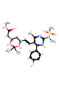 CC(C)c1nc(N(C)S(C)(=O)=O)nc(-c2ccc(F)cc2)c1/C=C/[C@@H]1C[C@H](CC(=O)OC(C)(C)C)OC(C)(C)O1